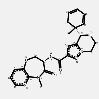 CN1C(=S)[C@@H](NC(=O)c2nc3n(n2)CCO[C@H]3C2(C)C=CC=CC2)COc2cccnc21